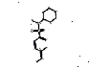 C=C(/C=C\C(C)=C/C)S(=O)(=O)N(C)C1CCCCC1